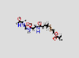 CC(=O)[C@H](C)NC(=O)CN(C)C(=O)CCNC(=O)CCC(C)(C)SSCCOC(=O)C(C)C